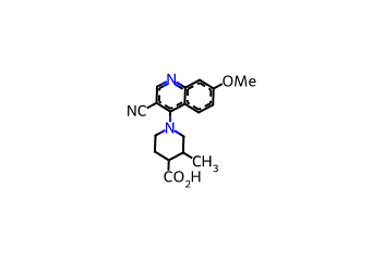 COc1ccc2c(N3CCC(C(=O)O)C(C)C3)c(C#N)cnc2c1